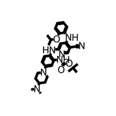 CC(C)Oc1ccccc1Nc1cc(Nc2ccc(N3CCC(N(C)C)CC3)cc2NC(=O)OC(C)(C)C)ncc1C#N